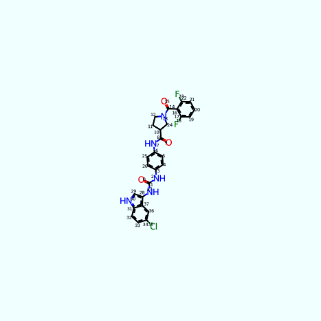 O=C(Nc1ccc(NC(=O)C2CCN(C(=O)c3c(F)cccc3F)C2)cc1)Nc1c[nH]c2ccc(Cl)cc12